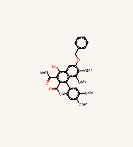 COC(=O)c1c(C(=O)OC)c(-c2ccc(OC)c(OC)c2)c2c(OC)c(OC)c(OCc3ccccc3)cc2c1O